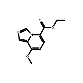 CCOC(=O)c1ccc(OC)c2cncn12